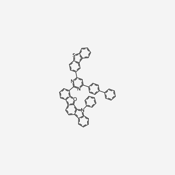 c1ccc(-c2ccc(-c3cc(-c4ccc5sc6ccccc6c5c4)nc(-c4cccc5c4oc4c5ccc5c6ccccc6n(-c6ccccc6)c54)n3)cc2)cc1